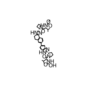 COC(=O)N[C@H](C(=O)N1CCC[C@H]1c1nc2c([nH]1)CCc1cc(-c3ccc4[nH]c([C@@H]5CCCN5C(=O)[C@@H](NC(=O)O)C(C)C)nc4c3)ccc1-2)C(C)C